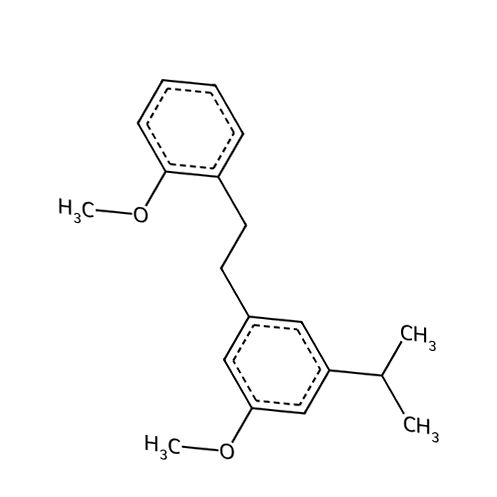 COc1cc(CCc2ccccc2OC)cc(C(C)C)c1